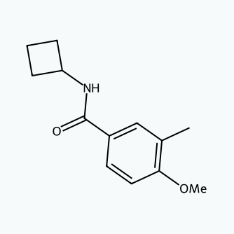 COc1ccc(C(=O)NC2CCC2)cc1C